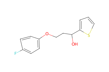 OC(CCOc1ccc(F)cc1)c1cccs1